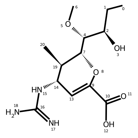 CC[C@@H](O)[C@@H](OC)[C@@H]1OC(C(=O)O)=C[C@H](NC(=N)N)[C@H]1C